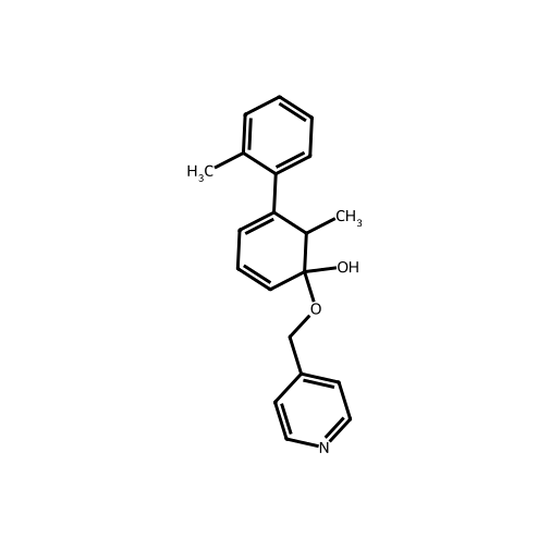 Cc1ccccc1C1=CC=CC(O)(OCc2ccncc2)C1C